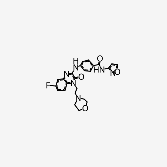 O=C(Nc1ccon1)c1ccc(Nc2nc3cc(F)ccc3n(CCN3CCOCC3)c2=O)cc1